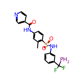 Cc1cc(NC(=O)c2ccncc2)ccc1S(=O)(=O)Nc1cccc(C(F)(F)P)c1